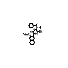 CCc1nc(-c2cc3c(cc2OC)CCCC3)c(CC)nc1N[C@H](C)c1ccccc1